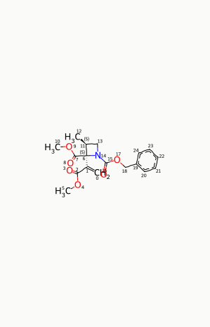 C=C(C(=O)OC)[C@]1(C(=O)OC)[C@@H](C)CN1C(=O)OCc1ccccc1